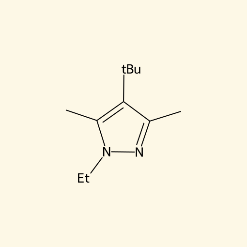 CCn1nc(C)c(C(C)(C)C)c1C